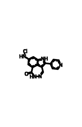 O=C1NN=Cc2c(-c3ccncc3)[nH]c3cc(NCl)cc1c23